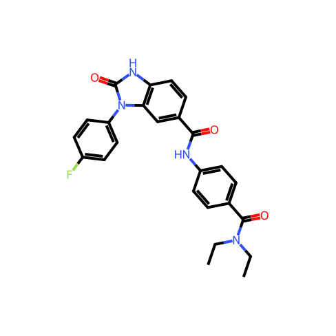 CCN(CC)C(=O)c1ccc(NC(=O)c2ccc3[nH]c(=O)n(-c4ccc(F)cc4)c3c2)cc1